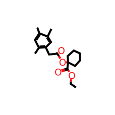 CCOC(=O)C1(OC(=O)Cc2cc(C)c(C)cc2C)CCCCC1